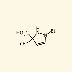 CCCC1(C(=O)O)C=CN(CC)N1